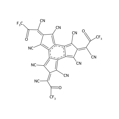 N#CC(C(=O)C(F)(F)F)=C1C(C#N)=c2c3c(c4c(c2=C1C#N)=C(C#N)C(=C(C#N)C(=O)C(F)(F)F)C=4C#N)=C(C#N)C(=C(C#N)C(=O)C(F)(F)F)C=3C#N